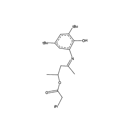 CC(CC(C)OC(=O)CC(C)C)=Nc1cc(C(C)(C)C)cc(C(C)(C)C)c1O